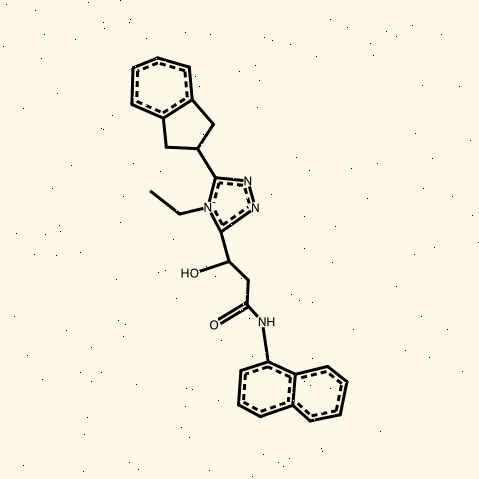 CCn1c(C(O)CC(=O)Nc2cccc3ccccc23)nnc1C1Cc2ccccc2C1